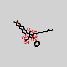 CCCCCCCCCC(COc1ccccc1)C(CCCCCCCC)(C(=O)O)C(CC(=O)O)(OCCCCCCCC)C(=O)O